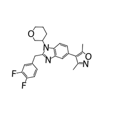 Cc1noc(C)c1-c1ccc2c(c1)nc(Cc1ccc(F)c(F)c1)n2C1CCCOC1